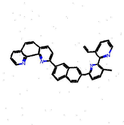 C=Cc1cccnc1-c1nc(-c2ccc3ccc(-c4ccc5ccc6cccnc6c5n4)cc3c2)ccc1C